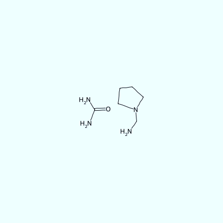 NC(N)=O.NCN1CCCC1